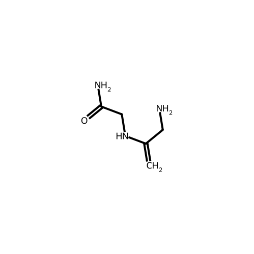 C=C(CN)NCC(N)=O